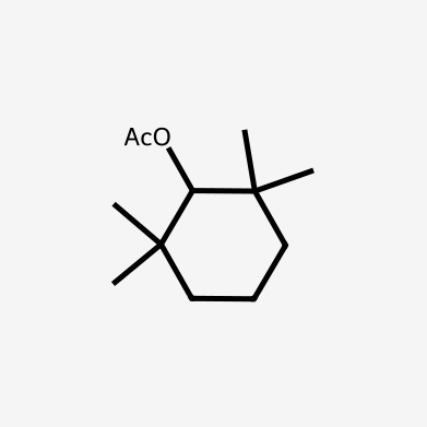 CC(=O)OC1C(C)(C)CCCC1(C)C